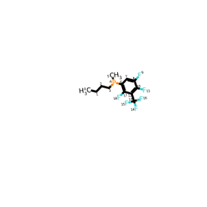 CCCCP(C)c1cc(F)c(F)c(C(F)(F)F)c1F